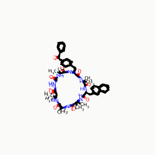 CC1NC(=O)C(C)(C)NC(=O)C(Cc2ccc3ccccc3c2)NC(=O)C(C)(C)NC(=O)C(Cc2ccc(C(=O)c3ccccc3)cc2)NC(=O)C(C)(C)NC(=O)NC(=O)C(C)(C)NC1=O